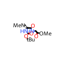 CNC[C@@H](NC(=O)OC(C)(C)C)C(=O)NCC(=O)OC